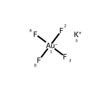 [F][Au-]([F])([F])[F].[K+]